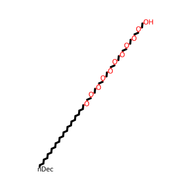 CCCCCCCCCCCCCCCCCCCCCCCCCCCCCCCCCOCCOCCOCCOCCOCCOCCOCCOCCOCCOCCO